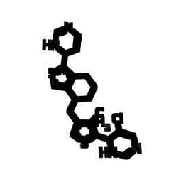 Cc1c(CC2CCCc3c2csc3C2C=CN=CN2)csc1C1NC=NC=C1Cl